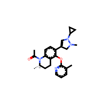 CC(=O)N1c2ccc(C3=CN(C4CC4)N(C)C3)c(Oc3ncccc3C)c2CC[C@@H]1C